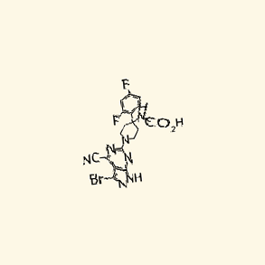 N#Cc1nc(N2CCC(NC(=O)O)(c3ccc(F)cc3F)CC2)nc2[nH]nc(Br)c12